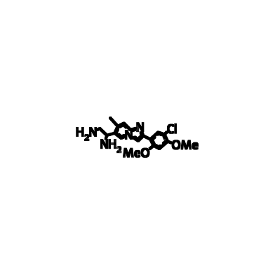 COc1cc(OC)c(-c2cn3cc(C(N)CN)c(C)cc3n2)cc1Cl